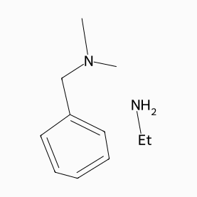 CCN.CN(C)Cc1ccccc1